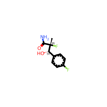 C[C@](F)(C(N)=O)[C@@H](O)c1ccc(F)cc1